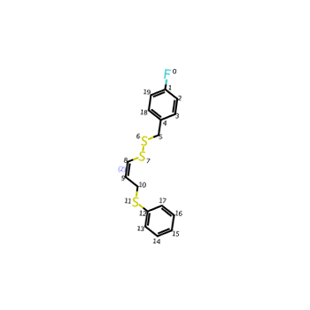 Fc1ccc(CSS/C=C\CSc2ccccc2)cc1